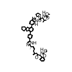 C=C(C/C=C\[C@H](C)c1ncc(-c2ccc(-c3ccc(-c4ccc5nc([C@@H]6CCCN6C(=O)C(NC(=O)OC)C(C)C)[nH]c5c4)c4c3CC3(CCCC3)C4)cc2)[nH]1)CC(=O)[C@H](NC(=O)OC)c1ccccc1